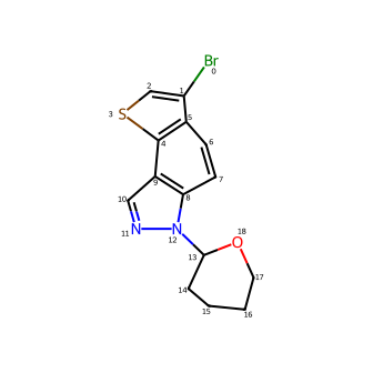 Brc1csc2c1ccc1c2cnn1C1CCCCO1